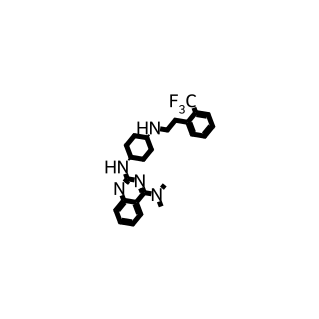 CN(C)c1nc(N[C@H]2CC[C@@H](NCCc3ccccc3C(F)(F)F)CC2)nc2ccccc12